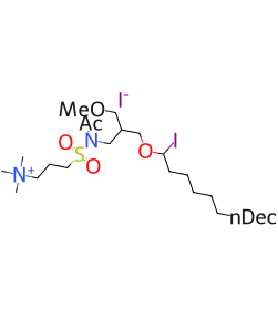 CCCCCCCCCCCCCCCC(I)OCC(COC)CN(C(C)=O)S(=O)(=O)CCC[N+](C)(C)C.[I-]